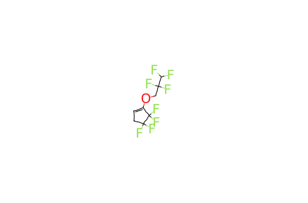 FC(F)C(F)(F)COC1=CCC(F)(F)C1(F)F